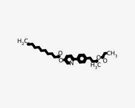 C=CCCCCCCCCC(=O)Oc1ccc(-c2ccc(CCC(C)OC(=O)CC)cc2)nc1